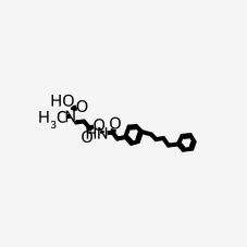 CN(CCC(=O)ONC(=O)Cc1ccc(CCCCc2ccccc2)cc1)C(=O)O